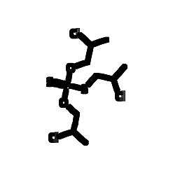 CC(Cl)COP(=S)(OCC(C)Cl)SCC(C)Cl